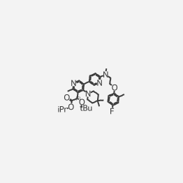 Cc1cc(F)ccc1OCCN(C)c1ccc(-c2cnc(C)c([C@H](OC(C)(C)C)C(=O)OC(C)C)c2N2CCC(C)(C)CC2)cn1